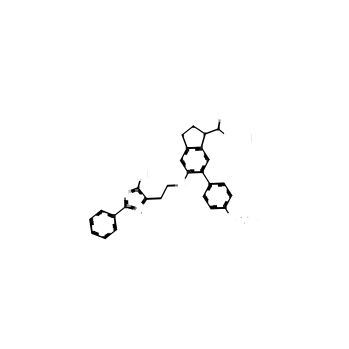 CCC(C(=O)O)C1CCc2cc(OCCc3nc(-c4ccccc4)oc3C)c(-c3ccc(OC)cc3)cc21